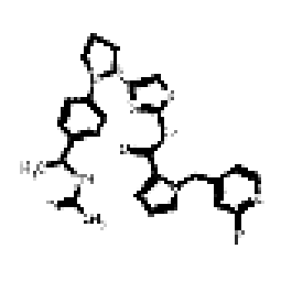 CC(=O)NC(C)c1ccc(N2CCC[C@@H]2c2csc(NC(=O)c3cccn3Cc3ccnc(F)c3)n2)cc1